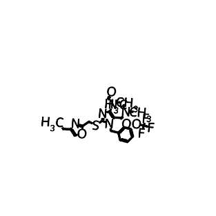 CCc1coc(CSc2nc(N(C)C=O)c(C(=O)N(C)C)n2Cc2cccc(OC(F)(F)F)c2)n1